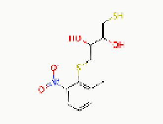 Cc1cccc([N+](=O)[O-])c1SCC(O)C(O)CS